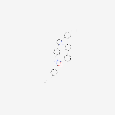 CCCCc1ccc(-c2nnc(-c3cccc(-c4cccc(-n5c(-c6ccc(C)cc6)ccc5-c5ccc(C)cc5)c4)c3)o2)cc1